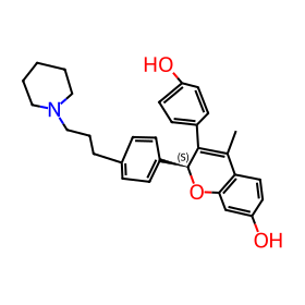 CC1=C(c2ccc(O)cc2)[C@H](c2ccc(CCCN3CCCCC3)cc2)Oc2cc(O)ccc21